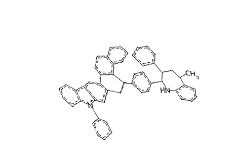 CC1CC(c2ccccc2)C(c2ccc(C3Cc4cc5c(cc4-c4ccc6ccccc6c43)c3ccccc3n5-c3ccccc3)cc2)Nc2ccccc21